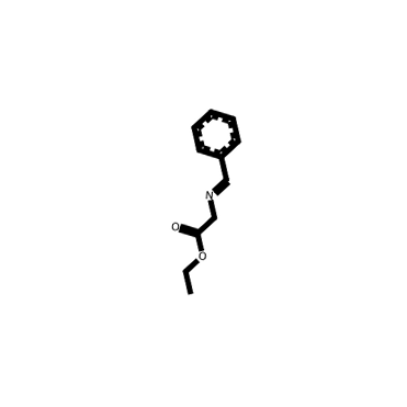 CCOC(=O)C/N=C/c1ccccc1